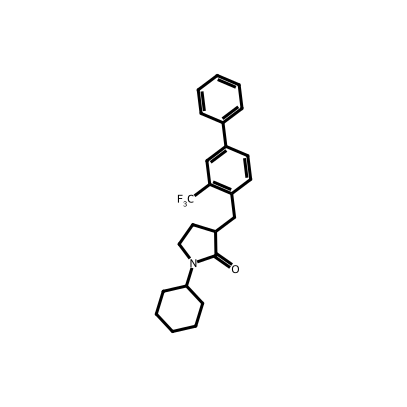 O=C1C(Cc2ccc(-c3ccccc3)cc2C(F)(F)F)CCN1C1CCCCC1